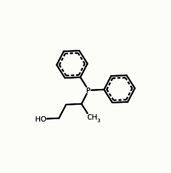 CC(CCO)P(c1ccccc1)c1ccccc1